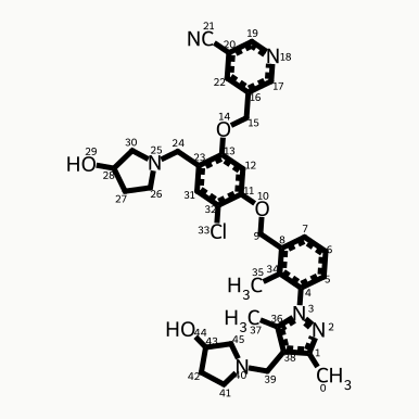 Cc1nn(-c2cccc(COc3cc(OCc4cncc(C#N)c4)c(CN4CCC(O)C4)cc3Cl)c2C)c(C)c1CN1CCC(O)C1